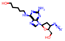 [N-]=[N+]=NC1C[C@H](n2cnc3c(NCCCCCO)nc(N)nc32)O[C@@H]1CO